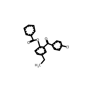 CCc1ccc(OC(=O)c2ccccc2)c(C(=O)c2ccc(Cl)cc2)c1